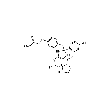 COC(=O)COc1ccc(CC2(c3ccc(Cl)cc3OCC3CCCC3)Nc3cc(F)c(F)cc3N2)cc1